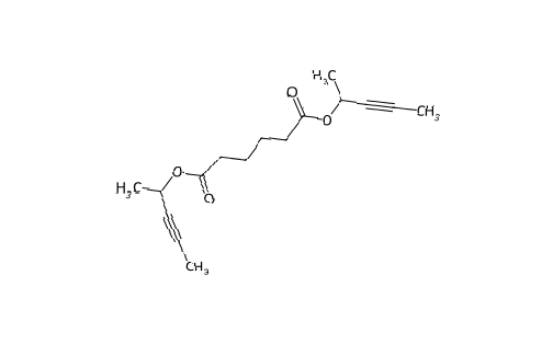 CC#CC(C)OC(=O)CCCCC(=O)OC(C)C#CC